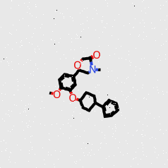 COc1ccc(C2CN(C)C(=O)CO2)cc1OC1CCC(c2ccccc2)CC1